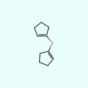 C1=C(SC2=CCCC2)CCC1